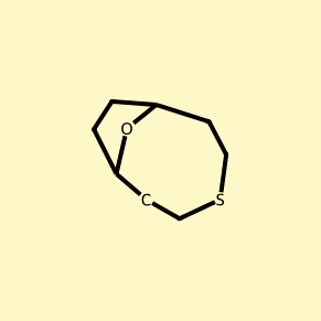 C1CC2CCC(CCS1)O2